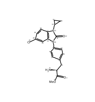 COC(=O)[C@@H](N)Cc1ccc(-n2c(=O)n(C3CC3)c3ccc(Cl)cc32)cc1